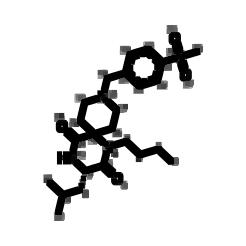 CCCCN1C(=O)[C@H](CC(C)C)NC(=O)C12CCN(Cc1ccc(S(C)(=O)=O)cc1)CC2